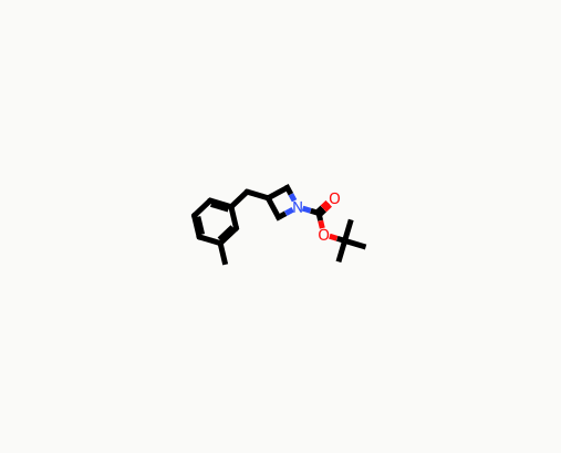 Cc1cccc(CC2CN(C(=O)OC(C)(C)C)C2)c1